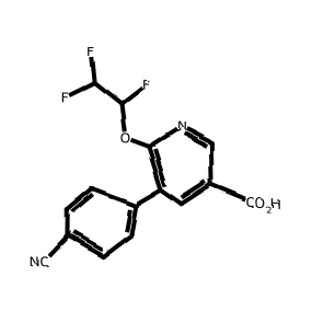 N#Cc1ccc(-c2cc(C(=O)O)cnc2OC(F)C(F)F)cc1